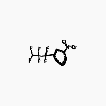 O=[N+]([O-])c1cccc(C(F)(F)C(F)(F)C(F)F)c1